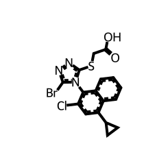 O=C(O)CSc1nnc(Br)n1-c1c(Cl)cc(C2CC2)c2ccccc12